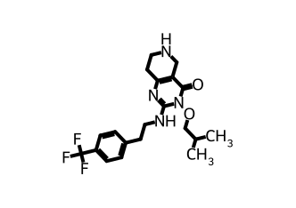 CC(C)COn1c(NCCc2ccc(C(F)(F)F)cc2)nc2c(c1=O)CNCC2